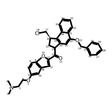 CN(C)CCOc1ccc2oc(C(=O)C3C[C@@H](CCl)c4c3cc(OCc3ccccc3)c3ccccc43)cc2c1